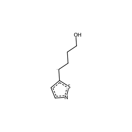 OCCC[CH]c1ccns1